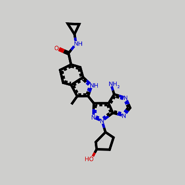 Cc1c(-c2nn(C3CCC(O)C3)c3ncnc(N)c23)[nH]c2cc(C(=O)NC3CC3)ccc12